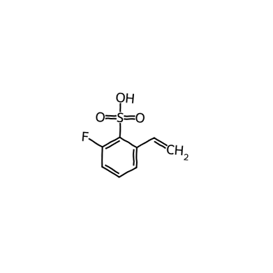 C=Cc1cccc(F)c1S(=O)(=O)O